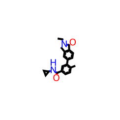 CCN1Cc2cc(-c3cc(C(=O)NC4CC4)ccc3C)ccc2C1=O